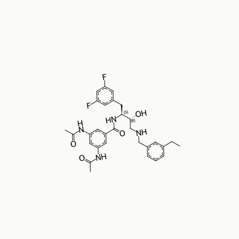 CCc1cccc(CNC[C@@H](O)[C@H](Cc2cc(F)cc(F)c2)NC(=O)c2cc(NC(C)=O)cc(NC(C)=O)c2)c1